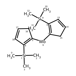 C[Si](C)(C)C1=[C]([Mo][C]2=C([Si](C)(C)C)C=CC2)CC=C1